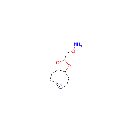 NOCC1OC2CC/C=C/CCC2O1